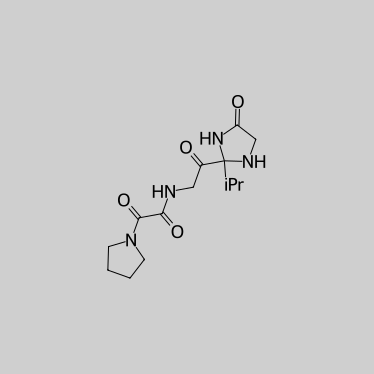 CC(C)C1(C(=O)CNC(=O)C(=O)N2CCCC2)NCC(=O)N1